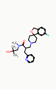 CN(CC(C)(C)O)C(=O)C(Cc1ccccn1)CN1CCC2(CC1)OCc1ccc(F)cc12